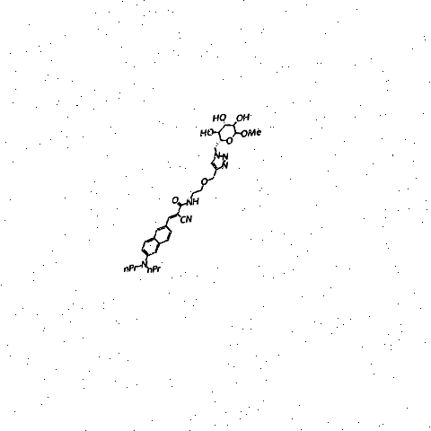 CCCN(CCC)c1ccc2cc(/C=C(\C#N)C(=O)NCCOCc3cn(C[C@H]4O[C@H](OC)[C@H](O)[C@@H](O)[C@@H]4O)nn3)ccc2c1